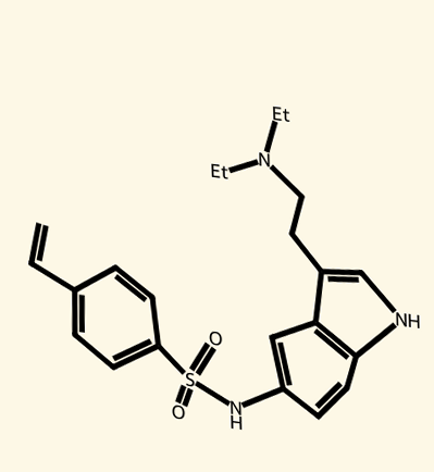 C=Cc1ccc(S(=O)(=O)Nc2ccc3[nH]cc(CCN(CC)CC)c3c2)cc1